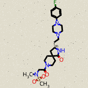 CN(CC(=O)N1CCC2(CC1)C[C@H](CCN1CCN(c3ccc(F)cc3)CC1)NC2=O)S(C)(=O)=O